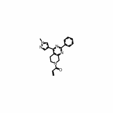 C=CC(=O)N1CCc2c(nc(-c3ccccc3)nc2-c2cnn(C)c2)C1